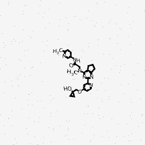 Cc1ccc(NC(=O)CN(C)c2nc(-c3cc(OCC4(O)CC4)ccn3)nc3c2CCC3)cn1